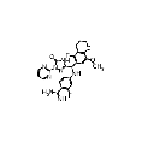 COc1cc(C(Nc2ccc(C(=N)N)c(F)c2)c2nn(-c3ncccn3)c(=O)[nH]2)c(F)c2c1OCCC2